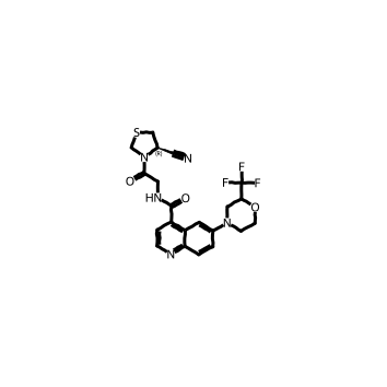 N#C[C@@H]1CSCN1C(=O)CNC(=O)c1ccnc2ccc(N3CCOC(C(F)(F)F)C3)cc12